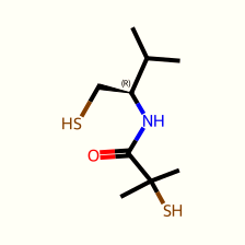 CC(C)[C@H](CS)NC(=O)C(C)(C)S